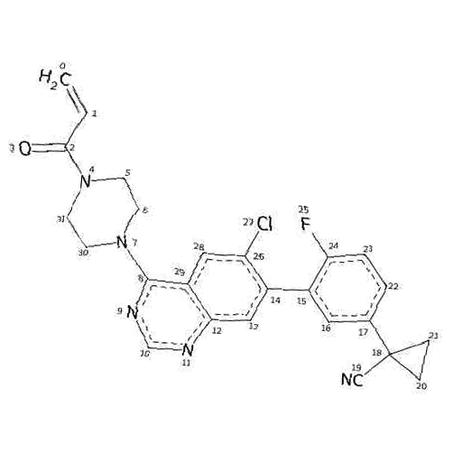 C=CC(=O)N1CCN(c2ncnc3cc(-c4cc(C5(C#N)CC5)ccc4F)c(Cl)cc23)CC1